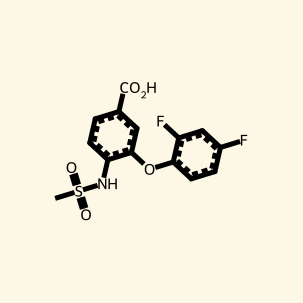 CS(=O)(=O)Nc1ccc(C(=O)O)cc1Oc1ccc(F)cc1F